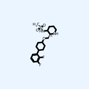 CS(=O)(=O)NC1CCCN[C@H]1COC1CCC(c2cccc(F)c2F)CC1